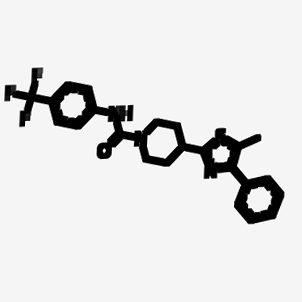 Cc1sc(C2CCN(C(=O)Nc3ccc(C(F)(F)F)cc3)CC2)nc1-c1ccccc1